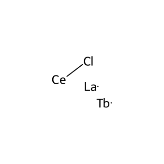 [Cl][Ce].[La].[Tb]